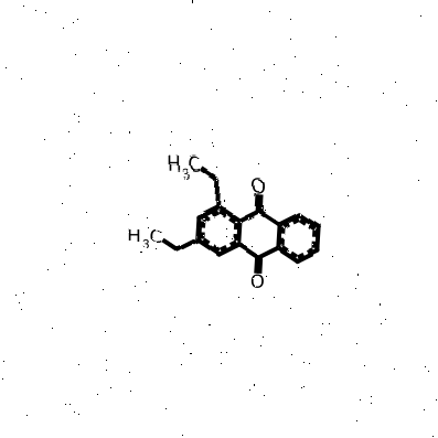 CCc1cc(CC)c2c(c1)C(=O)c1ccccc1C2=O